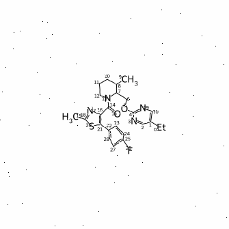 CCc1cnc(OCC2C(C)CCCN2C(=O)c2nc(C)sc2-c2ccc(F)cc2)nc1